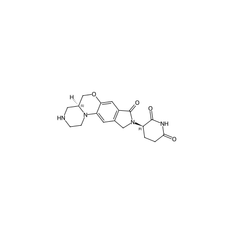 O=C1CC[C@@H](N2Cc3cc4c(cc3C2=O)OC[C@@H]2CNCCN42)C(=O)N1